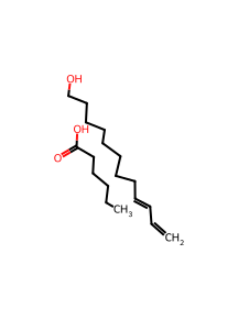 C=CC=CCCCCCCCCO.CCCCCC(=O)O